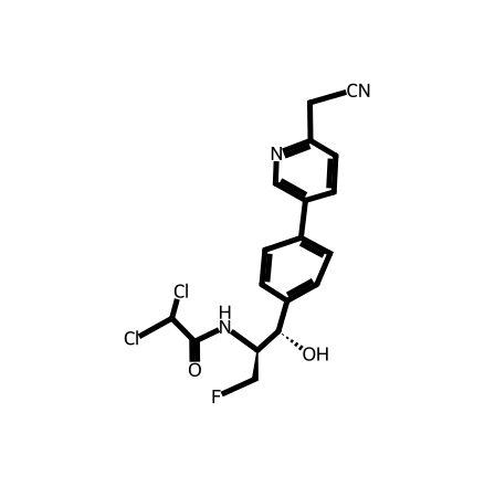 N#CCc1ccc(-c2ccc([C@H](O)[C@@H](CF)NC(=O)C(Cl)Cl)cc2)cn1